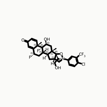 C[C@]12C=CC(=O)C=C1[C@@H](F)C[C@H]1[C@@H]3C[C@H]4CN(c5ccc(Cl)c(C(F)(F)F)c5)O[C@@]4(C(=O)CO)[C@@]3(C)C[C@H](O)[C@@]12F